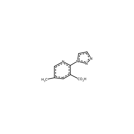 Cc1cnc(-n2ccnn2)c(C(=O)O)c1